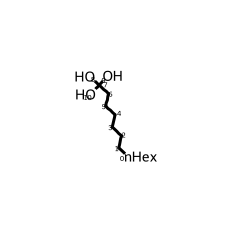 CCCCCCCCCCCCC(O)(O)O